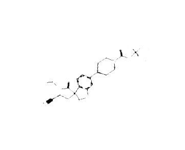 CCOC(=O)C1(CCC#N)COc2cc(C3CCN(C(=O)OC(C)(C)C)CC3)ccc21